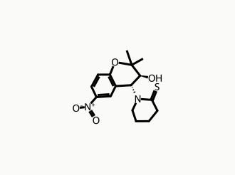 CC1(C)Oc2ccc([N+](=O)[O-])cc2[C@@H](N2CCCCC2=S)[C@@H]1O